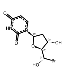 O=c1ccn([C@H]2C[C@H](O)[C@@H]([C@@H](O)Br)O2)c(=O)[nH]1